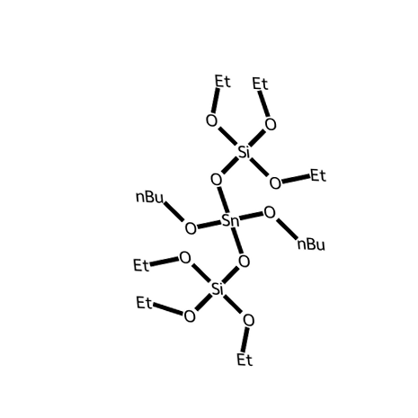 CCCC[O][Sn]([O]CCCC)([O][Si](OCC)(OCC)OCC)[O][Si](OCC)(OCC)OCC